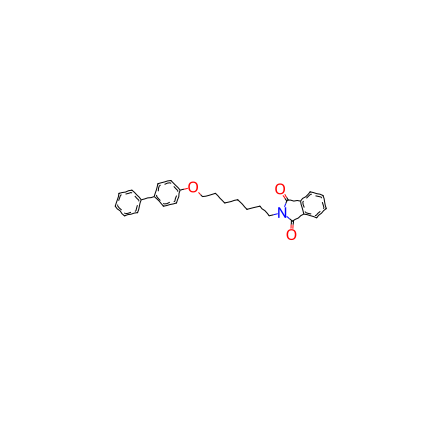 O=C1c2ccccc2C(=O)N1CCCCCCCOc1ccc(-c2ccccc2)cc1